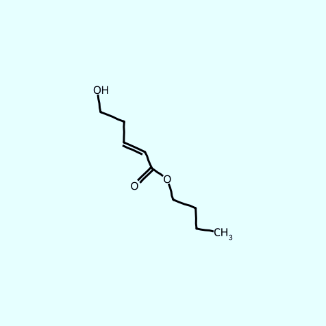 CCCCOC(=O)C=CCCO